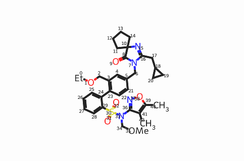 CCOCc1cc(CN2C(=O)C3(CCCC3)N=C2CC2CC2)ccc1-c1ccccc1S(=O)(=O)N(COC)c1noc(C)c1C